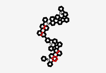 c1ccc(-c2ccc(-c3ccccc3N(c3ccc(-c4cccc(-c5ccc6c(c5)c5cccc7c5n6-c5ccccc5C75c6ccccc6-c6ccc(-c7ccc(N(c8ccccc8)c8ccccc8-c8ccc(-c9ccccc9)cc8)c8ccccc78)cc65)c4)cc3)c3ccc(-c4ccc5c(c4)C4(c6ccccc6-5)c5ccccc5-n5c6ccccc6c6cccc4c65)c4ccccc34)cc2)cc1